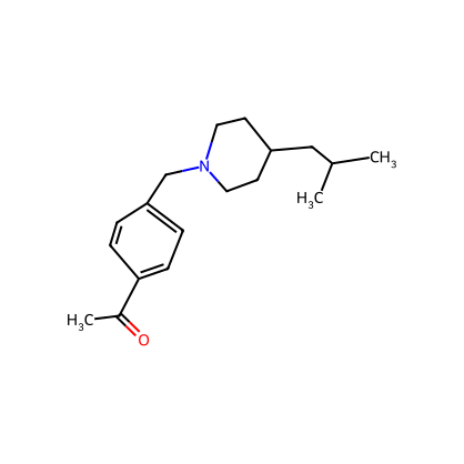 CC(=O)c1ccc(CN2CCC(CC(C)C)CC2)cc1